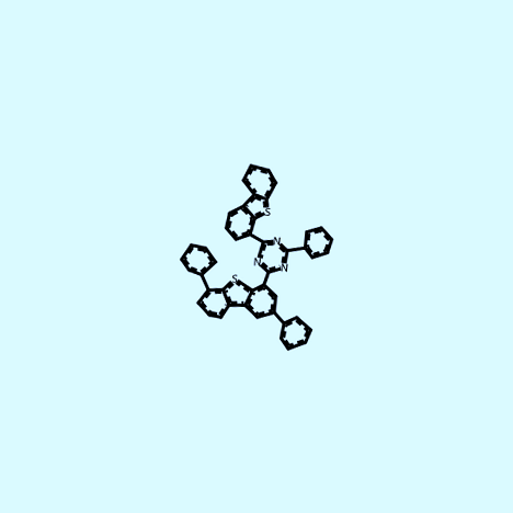 c1ccc(-c2cc(-c3nc(-c4ccccc4)nc(-c4cccc5c4sc4ccccc45)n3)c3sc4c(-c5ccccc5)cccc4c3c2)cc1